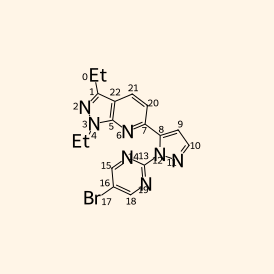 CCc1nn(CC)c2nc(-c3ccnn3-c3ncc(Br)cn3)ccc12